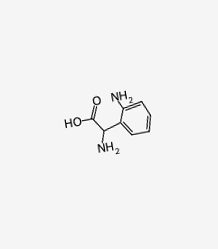 Nc1ccccc1C(N)C(=O)O